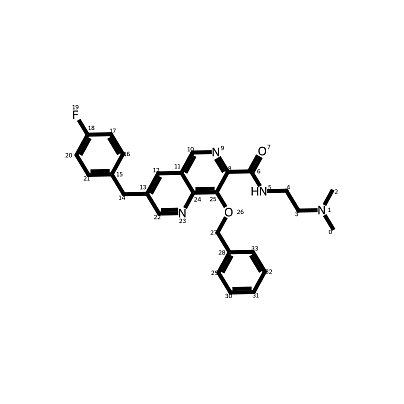 CN(C)CCNC(=O)c1ncc2cc(Cc3ccc(F)cc3)cnc2c1OCc1ccccc1